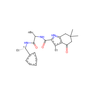 CCCCC(NC(=O)c1[nH]c2c(c1CC)C(=O)CC(C)(C)C2)C(=O)N[C@@H](CC)c1ccccc1